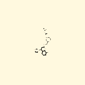 O=C(N=S(=O)=O)ON1CCOC(CNc2cc(-n3ccnc3)c3ccc(Cl)c(Cl)c3n2)C1